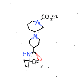 CCOC(=O)N1CCCC(N2CCC(C(=O)NC3(C(F)(F)F)CCC3)CC2)CC1